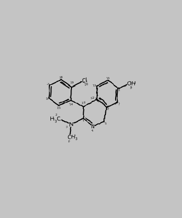 CN(C)C1=NCc2cc(O)ccc2C1c1ccccc1Cl